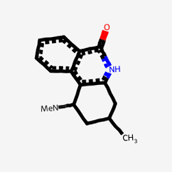 CNC1CC(C)Cc2[nH]c(=O)c3ccccc3c21